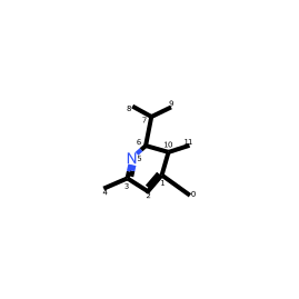 CC1=CC(C)=NC(C(C)C)C1C